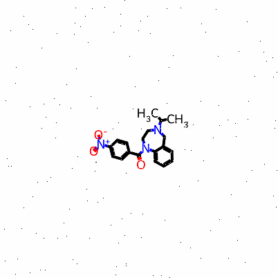 CC(C)N1CCN(C(=O)c2ccc([N+](=O)[O-])cc2)c2ccccc2C1